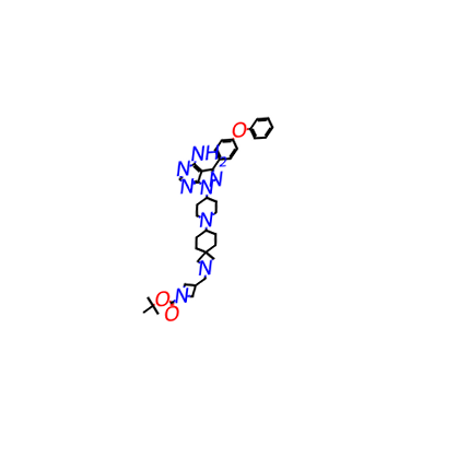 CC(C)(C)OC(=O)N1CC(CN2CC3(CCC(N4CCC(n5nc(-c6ccc(Oc7ccccc7)cc6)c6c(N)ncnc65)CC4)CC3)C2)C1